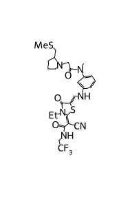 CCn1c(=C(C#N)C(=O)NCC(F)(F)F)sc(=CNc2cccc(N(C)C(=O)CN3CCCC3CSC)c2)c1=O